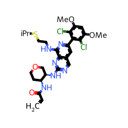 C=CC(=O)N[C@H]1CCOC[C@H]1Nc1ncc2cc(-c3c(Cl)c(OC)cc(OC)c3Cl)nc(NCCSC(C)C)c2n1